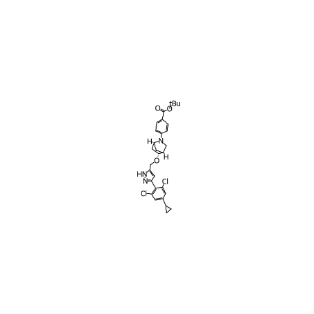 CC(C)(C)OC(=O)c1ccc(N2C[C@@H]3C[C@H]2C[C@H]3OCc2cc(-c3c(Cl)cc(C4CC4)cc3Cl)n[nH]2)cc1